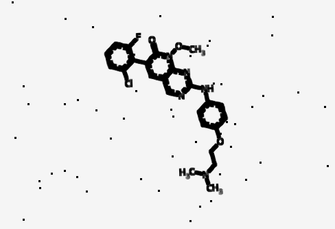 COn1c(=O)c(-c2c(F)cccc2Cl)cc2cnc(Nc3ccc(OCCN(C)C)cc3)nc21